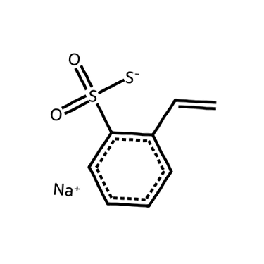 C=Cc1ccccc1S(=O)(=O)[S-].[Na+]